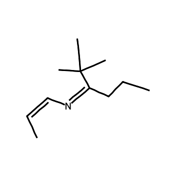 C/C=C\N=C(\CCC)C(C)(C)C